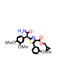 COc1cccc(-c2sc(C(C(N)=O)c3ccc(OC)c(OC)c3)nc2C(=O)OCC2CC2)c1